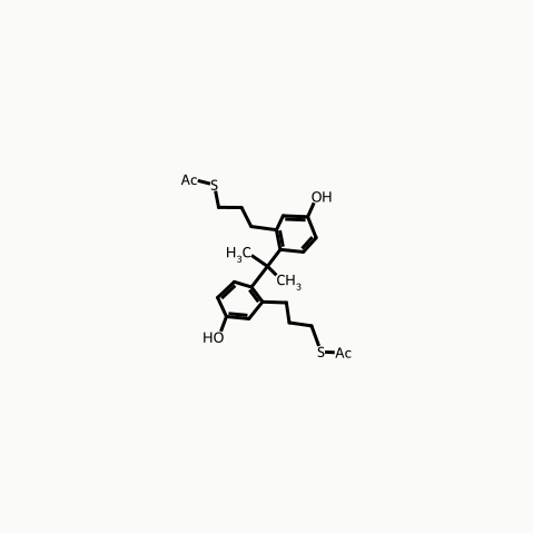 CC(=O)SCCCc1cc(O)ccc1C(C)(C)c1ccc(O)cc1CCCSC(C)=O